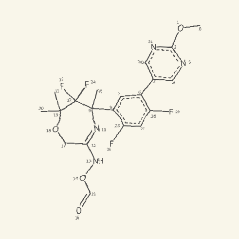 COc1ncc(-c2cc(C3(C)N=C(NOC=O)COC(C)(C)C3(F)F)c(F)cc2F)cn1